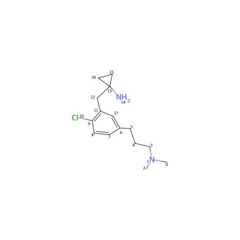 CN(C)CCCc1ccc(Cl)c(CC2(N)CC2)c1